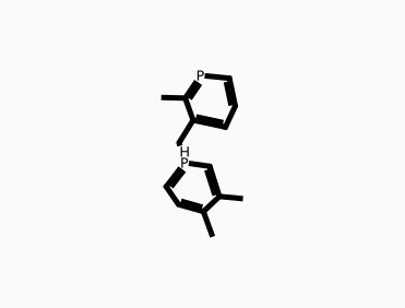 CC1=CC=[PH](Cc2cccpc2C)C=C1C